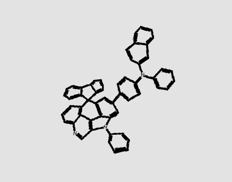 c1ccc(N(c2ccc(-c3cc4c5c6c7c(cccc7ncc6n(-c6ccccc6)c5c3)C43c4ccccc4-c4ccccc43)cc2)c2ccc3ccccc3c2)cc1